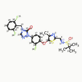 Cc1nc(/C=N/[S+]([O-])C(C)(C)C)sc1Oc1ccc(-n2ncn(Cc3c(F)cccc3F)c2=O)cc1F